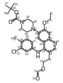 CCOc1cc2ncc(CCOC=O)c(Nc3ccc(F)c(Cl)c3)c2cc1N1CCN(C(=O)OC(C)(C)C)CC1